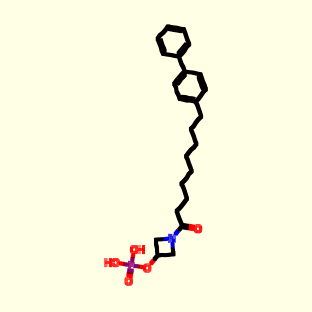 O=C(CCCCCCCCc1ccc(-c2ccccc2)cc1)N1CC(OP(=O)(O)O)C1